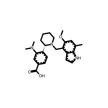 COc1cc(C)c2[nH]ccc2c1CN1CCCC[C@H]1c1ccc(C(=O)O)cc1N(C)C